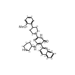 COc1ccccc1C1CCN(c2nc(NC3CCCNC3)c(-c3ccc4ccccc4n3)c(=O)[nH]2)CC1